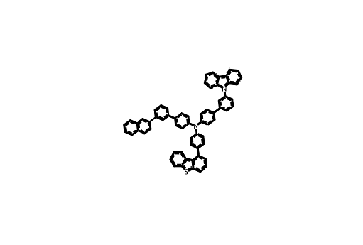 c1cc(-c2ccc(N(c3ccc(-c4cccc(-n5c6ccccc6c6ccccc65)c4)cc3)c3ccc(-c4cccc5sc6ccccc6c45)cc3)cc2)cc(-c2ccc3ccccc3c2)c1